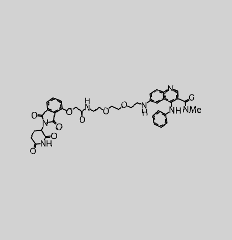 CNC(=O)c1cnc2ccc(NCCOCCOCCNC(=O)COc3cccc4c3C(=O)N(C3CCC(=O)NC3=O)C4=O)cc2c1Nc1ccccc1